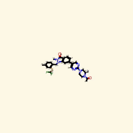 CC(=O)N1CCN(c2ncc(-c3ccc4c(=O)n(C)n(Cc5ccc(C)cc5SC(F)F)c4c3)cn2)C[C@H]1C